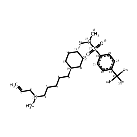 C=CCN(C)CCCCC[C@H]1CC[C@H](CN(C)S(=O)(=O)c2ccc(C(F)(F)F)cc2)CC1